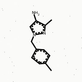 Cc1ccc(Cn2cc(N)c(C)n2)cc1